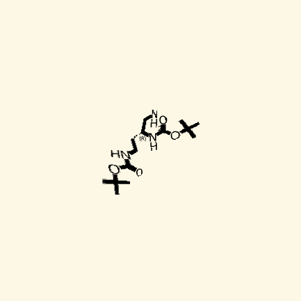 CC(C)(C)OC(=O)NCC[C@H](CN)NC(=O)OC(C)(C)C